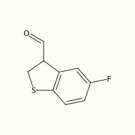 O=CC1CSc2ccc(F)cc21